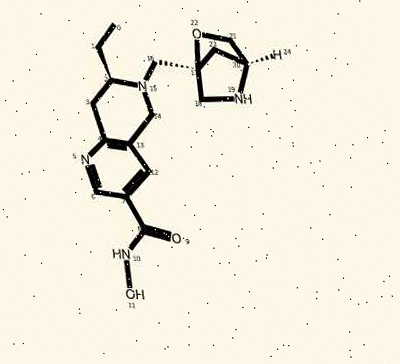 CC[C@@H]1Cc2ncc(C(=O)NO)cc2CN1C[C@]12CN[C@H](CO1)C2